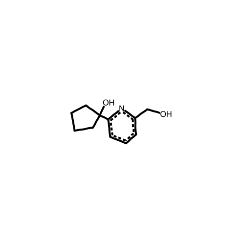 OCc1cccc(C2(O)CCCC2)n1